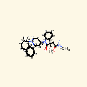 CNC(=O)C[C@]1(C)C(=O)N(C2CCN([C@@]3(C)CCCc4ccccc43)CC2)c2ccccc21